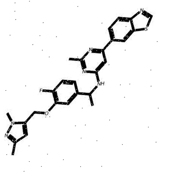 Cc1cc(COc2cc(C(C)Nc3cc(-c4ccc5ncsc5c4)nc(C)n3)ccc2F)n(C)n1